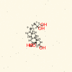 C[C@H](CC[C@H](C)C(C)(O)CO)C1CCC2C3CC(O)[C@@]4(O)CC(O)CCC4(C)C3CCC21C